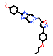 CCCOc1ccc(-c2cc(Cn3cc4nc(-c5ccc(OC)cc5)nc-4cn3)on2)cc1